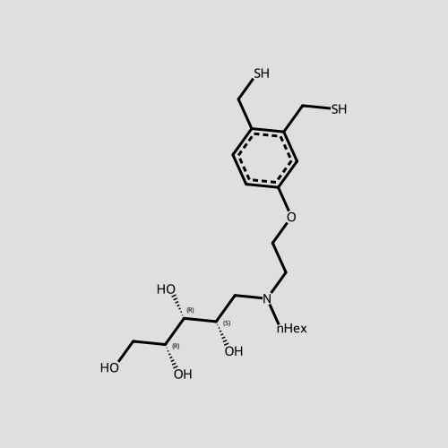 CCCCCCN(CCOc1ccc(CS)c(CS)c1)C[C@H](O)[C@@H](O)[C@H](O)CO